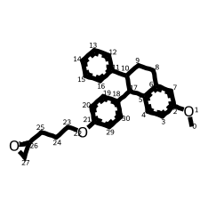 COc1ccc2c(c1)CCC(c1ccccc1)C2c1ccc(OCCCC2CO2)cc1